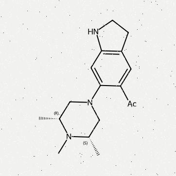 CC(=O)c1cc2c(cc1N1C[C@@H](C)N(C)[C@@H](C)C1)NCC2